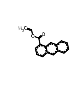 C=COC(=O)c1cccc2cc3ccccc3cc12